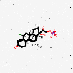 C[C@H]1C[C@H]2[C@@H]3C[C@H](F)C4=CC(=O)CC[C@]4(C)C3=CC[C@]2(C)[C@@]1(O)C(=O)COP(=O)([O-])[O-].[Na+].[Na+]